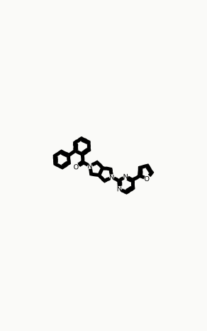 O=C(c1ccccc1-c1ccccc1)N1CC2CN(c3nccc(-c4ccco4)n3)CC2C1